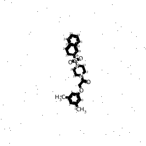 Cc1cc(C)cc(OCC(=O)N2CCN(S(=O)(=O)C3C=c4ccccc4=CC3)CC2)c1